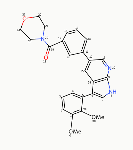 COc1cccc(-c2c[nH]c3ncc(-c4cccc(C(=O)N5CCOCC5)c4)cc23)c1OC